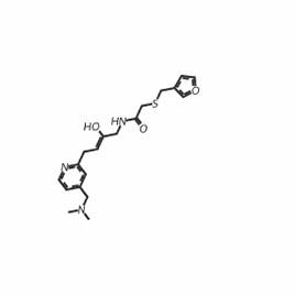 CN(C)Cc1ccnc(CC=C(O)CNC(=O)CSCc2ccoc2)c1